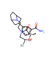 CCC(CC)CN(CCN1C2CCC1CC(c1cccc(C(N)=O)c1)C2)C(=O)[C@@H](C)O